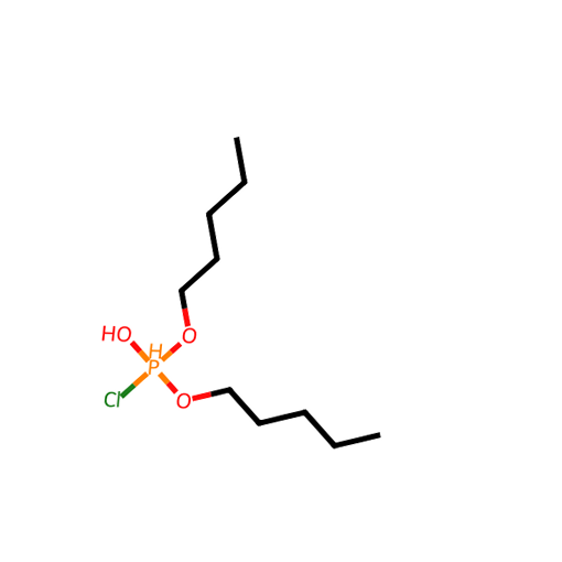 CCCCCO[PH](O)(Cl)OCCCCC